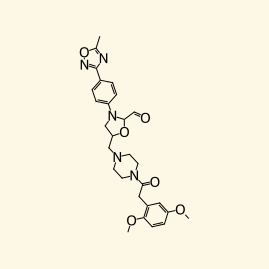 COc1ccc(OC)c(CC(=O)N2CCN(CC3CN(c4ccc(-c5noc(C)n5)cc4)C(C=O)O3)CC2)c1